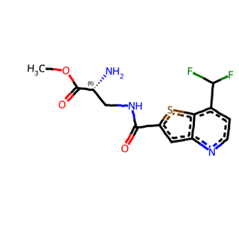 COC(=O)[C@H](N)CNC(=O)c1cc2nccc(C(F)F)c2s1